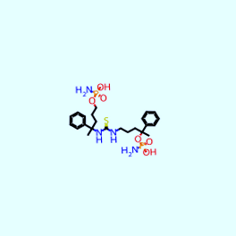 CC(CCCOP(N)(=O)O)(NC(=S)NCCCC(C)(OP(N)(=O)O)c1ccccc1)c1ccccc1